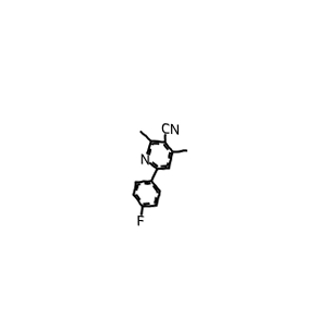 Cc1cc(-c2ccc(F)cc2)nc(C)c1C#N